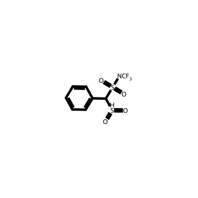 O=[SH](=O)C(c1ccccc1)S(=O)(=O)NC(F)(F)F